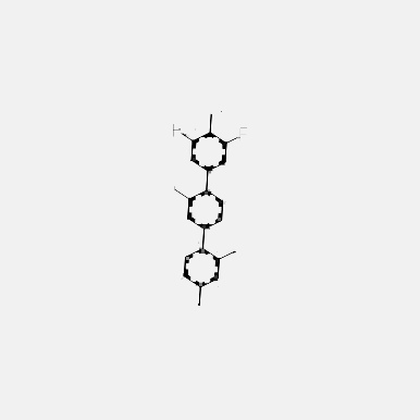 Cc1ccc(-c2ccc(-c3cc(F)c(C)c(F)c3)c(C)c2)c(C)c1